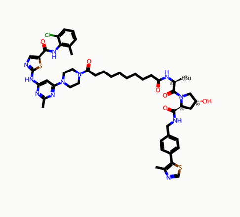 Cc1nc(Nc2ncc(C(=O)Nc3c(C)cccc3Cl)s2)cc(N2CCN(C(=O)CCCCCCCCC(=O)N[C@H](C(=O)N3C[C@H](O)C[C@H]3C(=O)NCc3ccc(-c4scnc4C)cc3)C(C)(C)C)CC2)n1